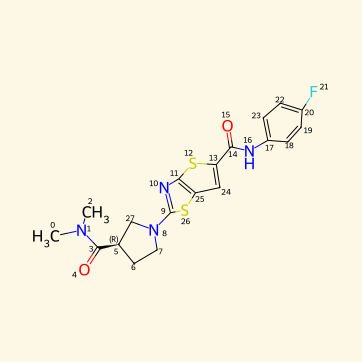 CN(C)C(=O)[C@@H]1CCN(c2nc3sc(C(=O)Nc4ccc(F)cc4)cc3s2)C1